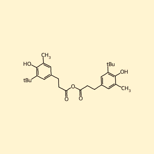 Cc1cc(CCC(=O)OC(=O)CCc2cc(C)c(O)c(C(C)(C)C)c2)cc(C(C)(C)C)c1O